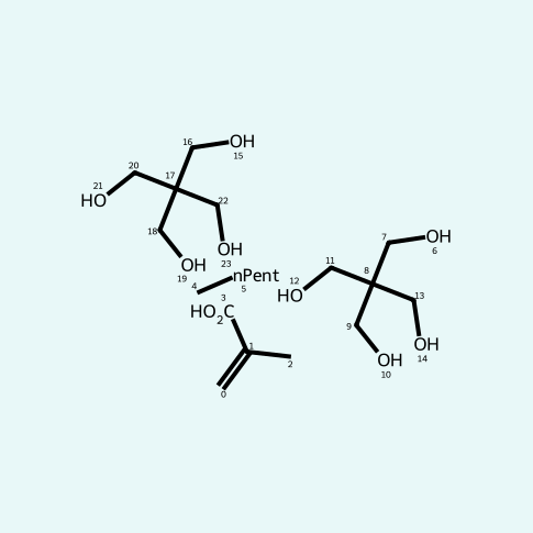 C=C(C)C(=O)O.CCCCCC.OCC(CO)(CO)CO.OCC(CO)(CO)CO